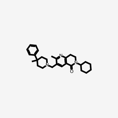 Cc1nc2c(cc1CN1CCC(C)(c3ccccc3)CC1)C(=O)N(C1CCCCC1)CC2